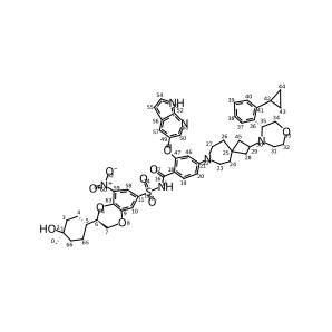 C[C@]1(O)CC[C@H]([C@@H]2COc3cc(S(=O)(=O)NC(=O)c4ccc(N5CCC6(CC5)CC(N5CCOC[C@H]5c5ccccc5C5CC5)C6)cc4Oc4cnc5[nH]ccc5c4)cc([N+](=O)[O-])c3O2)CC1